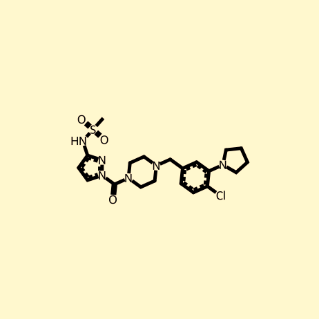 CS(=O)(=O)Nc1ccn(C(=O)N2CCN(Cc3ccc(Cl)c(N4CCCC4)c3)CC2)n1